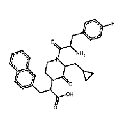 NC(Cc1ccc(F)cc1)C(=O)N1CCN(C(Cc2ccc3ccccc3c2)C(=O)O)C(=O)C1CC1CC1